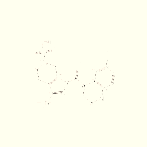 CC(C)(C)S(=O)(=O)N1CCc2c(N)nn(C(=O)C3CCNc4ccc(F)cc43)c2C1